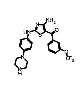 Nc1nc(Nc2ccc(N3CCNCC3)cc2)sc1C(=O)c1cccc(OC(F)(F)F)c1